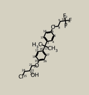 CC(C)(c1ccc(OCCC(F)(F)F)cc1)c1ccc(OC[C@H](O)CCl)cc1